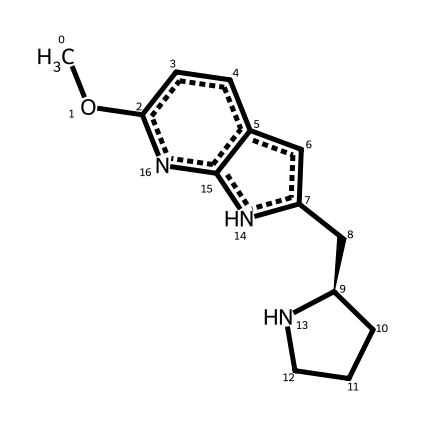 COc1ccc2cc(C[C@H]3CCCN3)[nH]c2n1